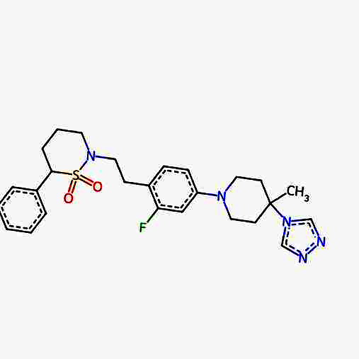 CC1(n2cnnc2)CCN(c2ccc(CCN3CCCC(c4ccccc4)S3(=O)=O)c(F)c2)CC1